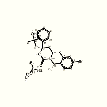 CC[BH-](CC)CC.Cc1cc(Br)ccc1[C@H](C)N1CC[C@](CC(C)(C)O)(c2ccccc2)OC1=O.[Li+]